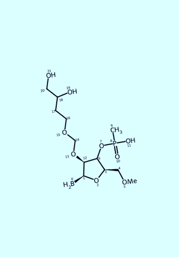 B[C@@H]1O[C@H](COC)C(OP(C)(=O)O)[C@@H]1OCOCCC(O)CO